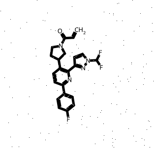 C=CC(=O)N1CCC(c2ccc(-c3ccc(F)cc3)nc2-c2ccn(C(F)F)n2)C1